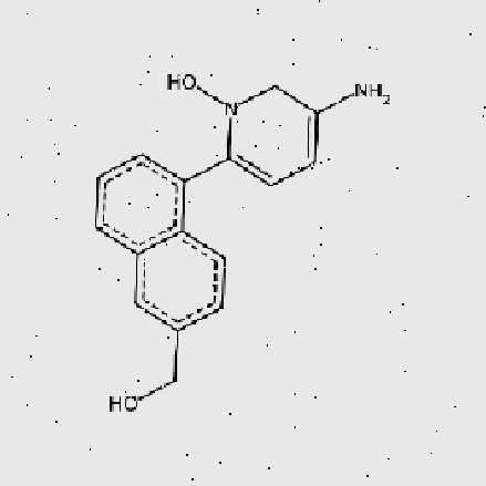 NC1=CC=C(c2cccc3cc(CO)ccc23)N(O)C1